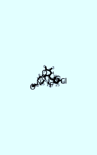 CCC(C)CC(C(=O)N1CCN(CC=O)CC1)[C@@H](CC)c1ccc(Cl)cc1F